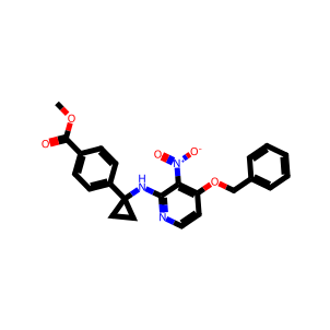 COC(=O)c1ccc(C2(Nc3nccc(OCc4ccccc4)c3[N+](=O)[O-])CC2)cc1